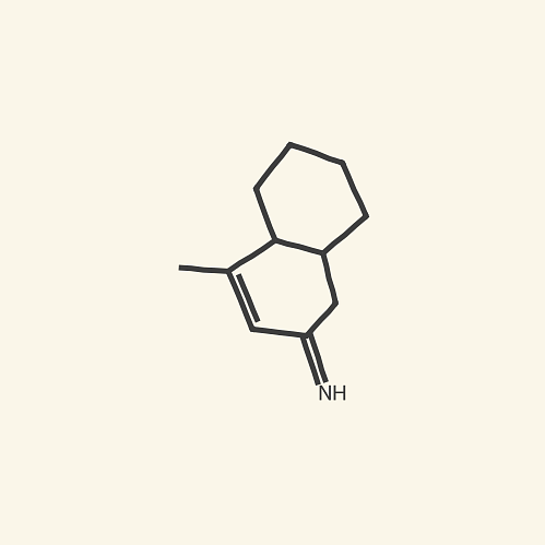 CC1=CC(=N)CC2CCCCC12